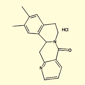 Cc1cc2c(cc1C)C1Cc3ncccc3C(=O)N1CC2.Cl